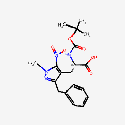 Cn1nc(Cc2ccccc2)c(C[C@H](NC(=O)OC(C)(C)C)C(=O)O)c1[N+](=O)[O-]